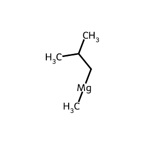 [CH3][Mg][CH2]C(C)C